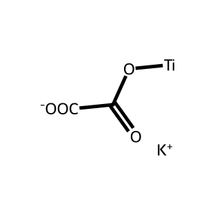 O=C([O-])C(=O)[O][Ti].[K+]